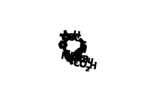 Cc1cc2c(cc1C)-c1cccc(c1)-c1cn3c(c([C@H](OC(C)(C)C)C(=O)O)c(C)cc3n1)N1CCC(C)(CC1)OC/C=C\C[C@H](C)O2